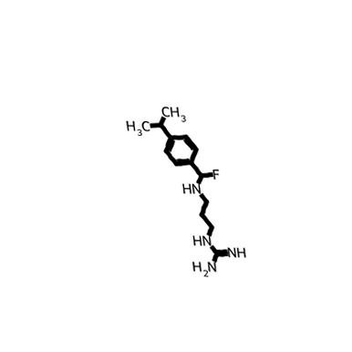 CC(C)c1ccc(C(F)NCCCNC(=N)N)cc1